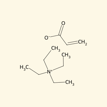 C=CC(=O)[O-].CC[N+](CC)(CC)CC